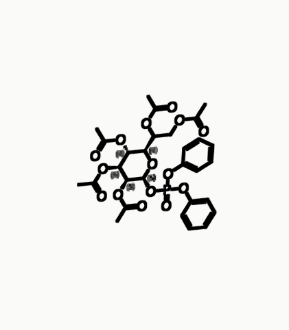 CC(=O)OCC(OC(C)=O)[C@H]1O[C@@H](OP(=O)(Oc2ccccc2)Oc2ccccc2)[C@@H](OC(C)=O)[C@@H](OC(C)=O)[C@@H]1OC(C)=O